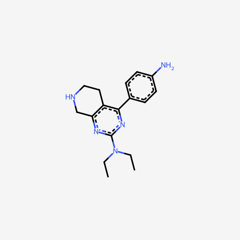 CCN(CC)c1nc2c(c(-c3ccc(N)cc3)n1)CCNC2